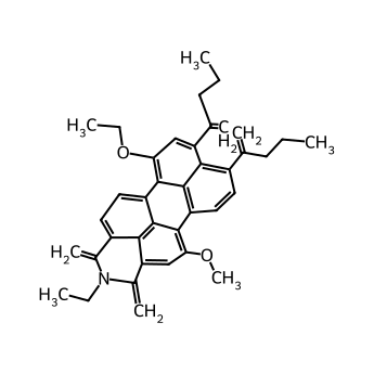 C=C(CCC)c1ccc2c3c(OC)cc4c5c(ccc(c6c(OCC)cc(C(=C)CCC)c1c26)c53)C(=C)N(CC)C4=C